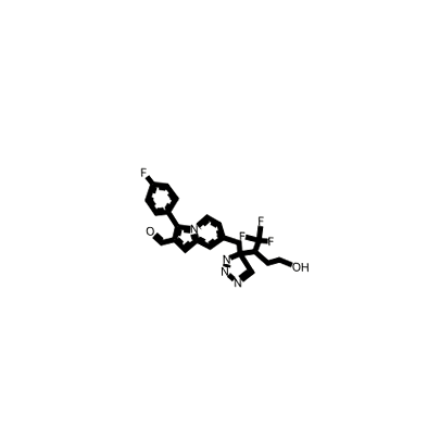 O=Cc1cc2cc(CC3(C(CCO)C(F)(F)F)C=NN=N3)ccn2c1-c1ccc(F)cc1